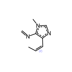 C=Nc1c(/C=C\C)ncn1C